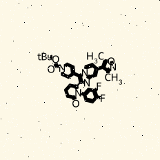 Cc1noc(C)c1-c1ccn2c(C3=CCN(C(=O)OC(C)(C)C)CC3)c([C@@H]3CCCC(=O)N3c3ccc(F)c(F)c3)nc2c1